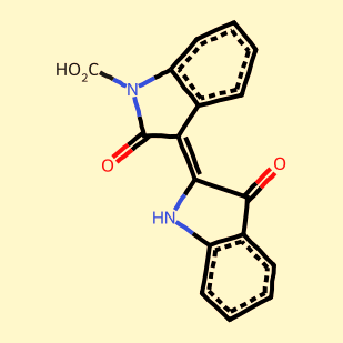 O=C1/C(=C2/C(=O)N(C(=O)O)c3ccccc32)Nc2ccccc21